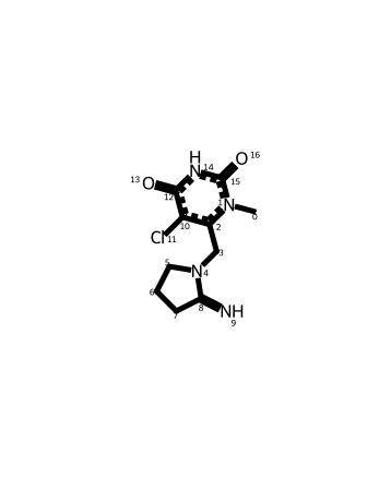 Cn1c(CN2CCCC2=N)c(Cl)c(=O)[nH]c1=O